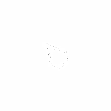 c1cc[c]2[c](c1)[Hg]2